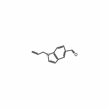 C=CCn1ccc2cc(C=O)ccc21